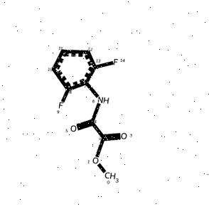 COC(=O)C(=O)Nc1c(F)cccc1F